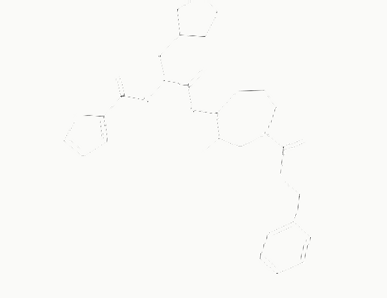 O=C(NC(CC1CCCC1)C(=O)NC1CCCN(C(=O)OCc2ccccc2)CC1O)c1ccco1